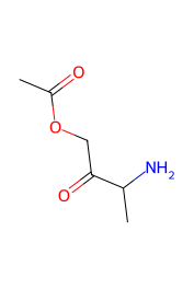 CC(=O)OCC(=O)C(C)N